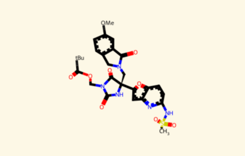 COc1ccc2c(c1)C(=O)N(C[C@@]1(c3cc4nc(NS(C)(=O)=O)ccc4o3)NC(=O)N(COC(=O)C(C)(C)C)C1=O)C2